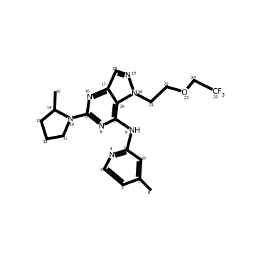 Cc1ccnc(Nc2nc(N3CCCC3C)nc3cnn(CCOCC(F)(F)F)c23)c1